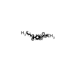 CCCCOC(=O)C1=CCC(Br)(OCC(=O)OCC)C=C1